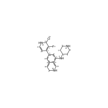 FC1=C(c2cc(NC3CCNCC3)c3c(c2)=CCNC=3)C=CNC1Cl